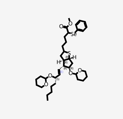 CCCCC[C@@H](/C=C/[C@@H]1[C@H]2CC(CCCC([Se]c3ccccc3)C(=O)OC)S[C@@H]2C[C@H]1OC1CCCCO1)OC1CCCCO1